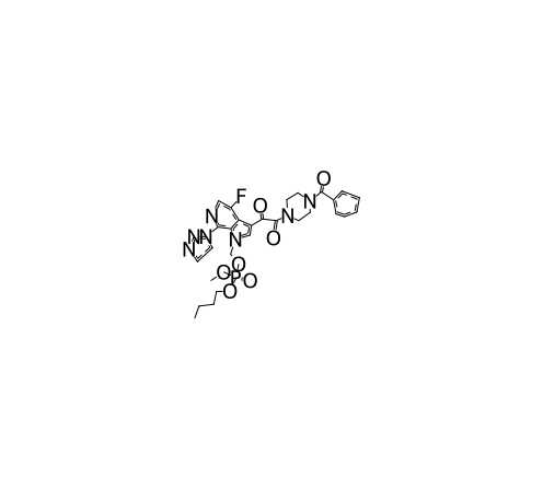 CCCCOP(=O)(OC)OCn1cc(C(=O)C(=O)N2CCN(C(=O)c3ccccc3)CC2)c2c(F)cnc(-n3ccnn3)c21